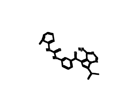 Cc1ccccc1NC(=O)Nc1cccc(C(=O)c2cc(C(C)C)n3ncnc(N)c23)c1